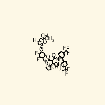 CC(C)(C)OC(=O)COc1ccc(CN2C(=O)C(C(=O)Nc3ccc(C(F)(F)F)cc3-c3ccc(C(F)(F)F)nc3)=C(O)[C@@]3(C)CCCN23)c(F)c1F